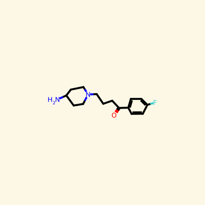 NC1CCN(CCCC(=O)c2ccc(F)cc2)CC1